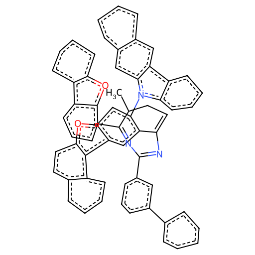 CC1C/C=C(c2cc3c(cc2-n2c4ccccc4c4cc5ccccc5cc42)oc2ccc4ccccc4c23)/N=C(c2cccc(-c3ccccc3)c2)\N=C/1c1cccc2c1oc1ccccc12